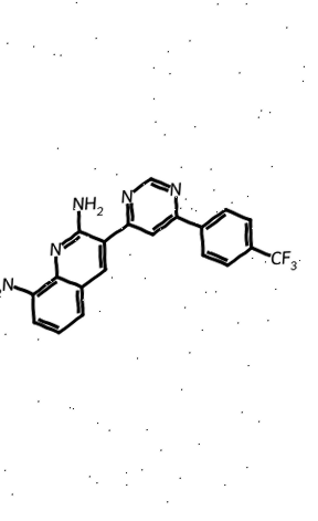 Nc1nc2c(N)cccc2cc1-c1cc(-c2ccc(C(F)(F)F)cc2)ncn1